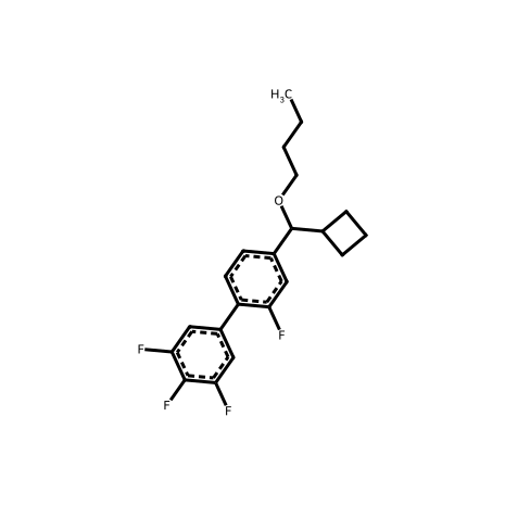 CCCCOC(c1ccc(-c2cc(F)c(F)c(F)c2)c(F)c1)C1CCC1